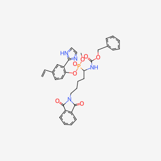 C=Cc1ccc(OP(=O)(OC)C(CCCCN2C(=O)c3ccccc3C2=O)NC(=O)OCc2ccccc2)c(-c2ncc[nH]2)c1